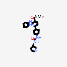 CNC(=O)c1ccc(-c2ccc(NC(=O)NCc3cccnc3)cc2)nc1Nc1ccccc1